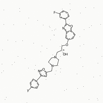 O[C@@H](COc1ccc2oc(-c3cccc(F)c3)nc2c1)CN1CCN(Cc2cc(-c3ccc(F)cc3)no2)CC1